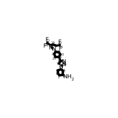 Nc1cccc(-n2cc(-c3ccc(-n4nc(C(F)F)cc4C(F)F)cc3)nn2)c1